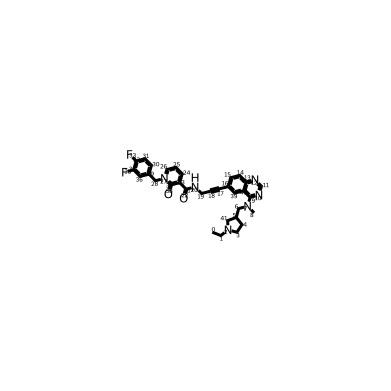 CCN1CCC(CN(C)c2ncnc3ccc(C#CCNC(=O)c4cccn(Cc5ccc(F)c(F)c5)c4=O)cc23)C1